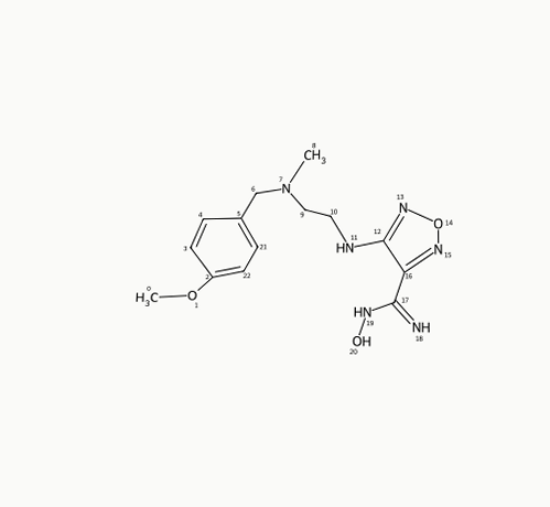 COc1ccc(CN(C)CCNc2nonc2C(=N)NO)cc1